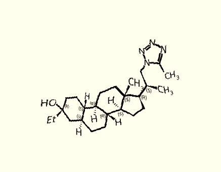 CC[C@@]1(O)CC[C@H]2[C@@H](CC[C@@H]3[C@@H]2CC[C@]2(C)[C@@H]([C@H](C)Cn4nnnc4C)CC[C@@H]32)C1